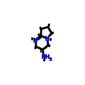 NC1CN=C2CCCN2C1